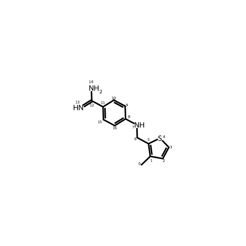 Cc1ccsc1CNc1ccc(C(=N)N)cc1